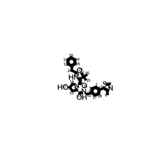 Cc1ncsc1-c1ccc(CNC(=O)[C@@H]2C[C@@H](O)CN2C(=O)C(NC(=O)Cc2ccccc2)C(C)(C)C)cc1